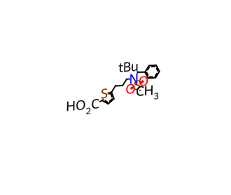 CC(C)(C)C(c1ccccc1)N(CCCc1ccc(C(=O)O)s1)S(C)(=O)=O